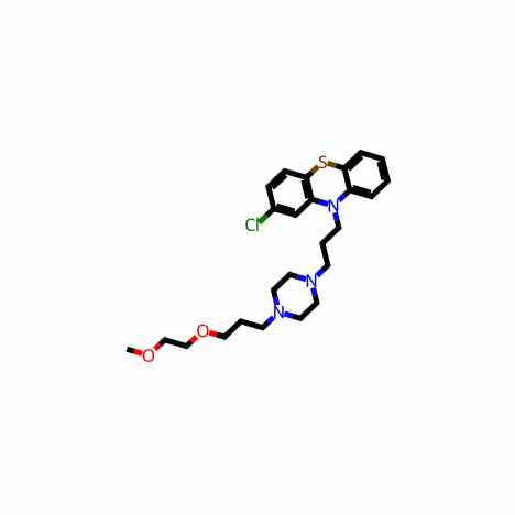 COCCOCCCN1CCN(CCCN2c3ccccc3Sc3ccc(Cl)cc32)CC1